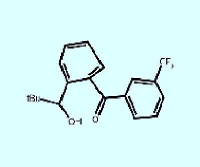 CC(C)(C)C(O)c1ccccc1C(=O)c1cccc(C(F)(F)F)c1